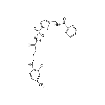 O=C(CCCNc1ncc(C(F)(F)F)cc1Cl)NNS(=O)(=O)c1ccc(CNC(=O)c2cccnc2)s1